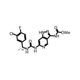 COC(=O)Nc1n[nH]c2cc(NC(=O)N[C@H](C)c3ccc(F)c(Cl)c3)ncc12